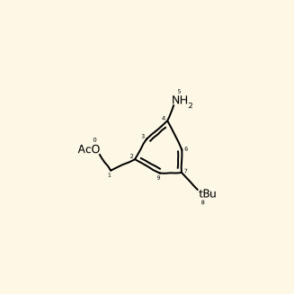 CC(=O)OCc1cc(N)cc(C(C)(C)C)c1